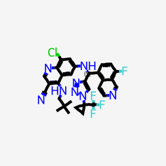 CC(C)(C)CNc1c(C#N)cnc2c(Cl)cc(N[C@H](c3cn(C4(C(F)(F)F)CC4)nn3)c3ccc(F)c4cnccc34)cc12